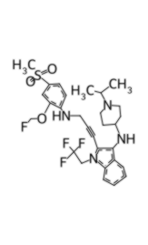 CC(C)N1CCC(Nc2c(C#CCNc3ccc(S(C)(=O)=O)cc3OCF)n(CC(F)(F)F)c3ccccc23)CC1